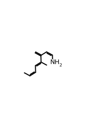 C=C(/C=C\N)/C(C)=C/C=C\C